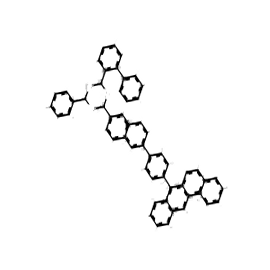 c1ccc(-c2ccccc2C2NC(c3ccccc3)NC(c3ccc4cc(-c5ccc(-c6c7ccccc7cc7c6ccc6ccccc67)cc5)ccc4c3)N2)cc1